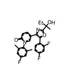 CCC(C)(O)c1nc(-c2ccc(=O)n(-c3c(C)cc(F)cc3C)c2)c(-c2ccc(F)cc2F)o1